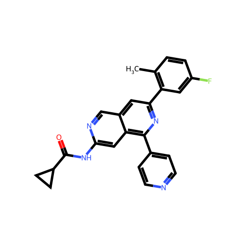 Cc1ccc(F)cc1-c1cc2cnc(NC(=O)C3CC3)cc2c(-c2ccncc2)n1